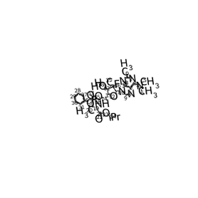 Cc1nc(N(C)C)c2ncn([C@@H]3O[C@H](CO[P@](=O)(N[C@@H](C)C(=O)OC(C)C)Oc4ccccc4)[C@@H](O)[C@@]3(C)F)c2n1